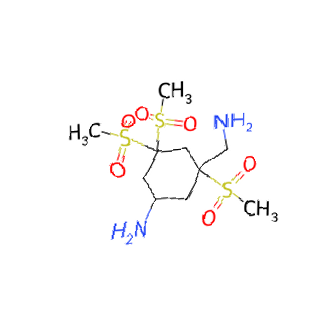 CS(=O)(=O)C1(CN)CC(N)CC(S(C)(=O)=O)(S(C)(=O)=O)C1